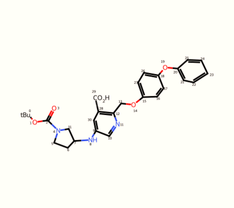 CC(C)(C)OC(=O)N1CCC(Nc2cnc(COc3ccc(Oc4ccccc4)cc3)c(C(=O)O)c2)C1